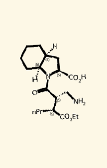 CCC[C@H](C(=O)OCC)[C@@H](CN)C(=O)N1[C@H](C(=O)O)C[C@@H]2CCCC[C@@H]21